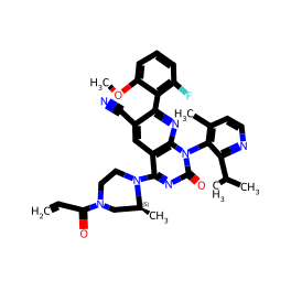 C=CC(=O)N1CCN(c2nc(=O)n(-c3c(C)ccnc3C(C)C)c3nc(-c4c(F)cccc4OC)c(C#N)cc23)[C@@H](C)C1